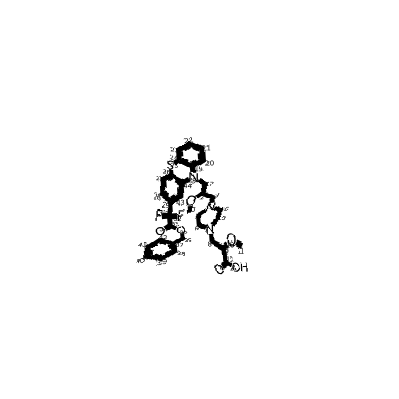 COC(CN1CCN(CC(OC)C(=O)O)CC1)CN1c2ccccc2Sc2ccc(C(F)(F)C(=O)OCc3ccccc3)cc21